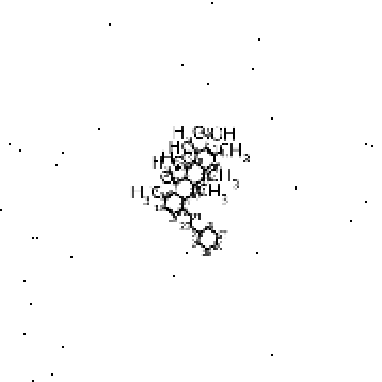 CC1=C(C(C)O)C(O)C2(C)C(C)C3C(=O)C4C(C)C=CC(CCC5CCCCC5)C4CC3(C)CC2(C)C1